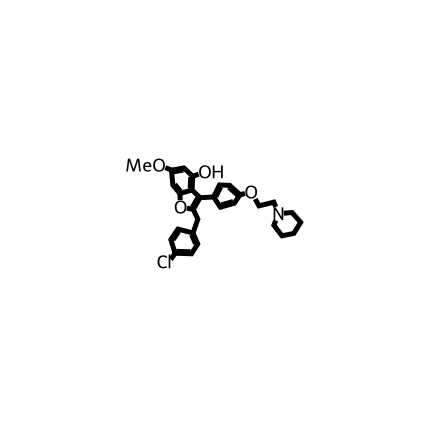 COc1cc(O)c2c(-c3ccc(OCCN4CCCCC4)cc3)c(Cc3ccc(Cl)cc3)oc2c1